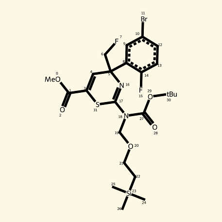 COC(=O)C1=CC(CF)(c2cc(Br)ccc2F)N=C(N(COCC[Si](C)(C)C)C(=O)OC(C)(C)C)S1